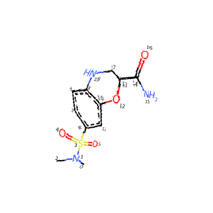 CN(C)S(=O)(=O)c1ccc2c(c1)OC(C(N)=O)CN2